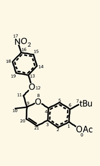 CC(=O)Oc1cc2c(cc1C(C)(C)C)OC(C)(COc1ccc([N+](=O)[O-])cc1)C=C2